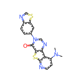 CN(C)c1ccnc2sc3c(=O)n(-c4ccc5ncsc5c4)cnc3c12